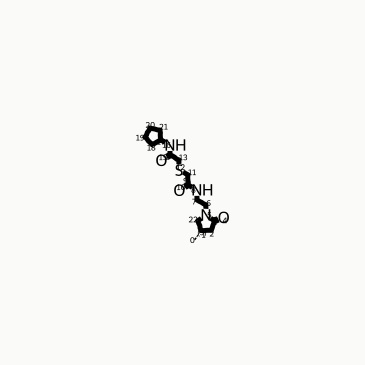 C[C@H]1CC(=O)N(CCNC(=O)CSCC(=O)NC2CCCC2)C1